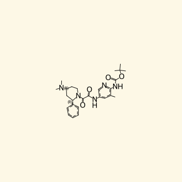 Cc1cc(NC(=O)C(=O)N2CC[C@@H](N(C)C)C[C@@H]2c2ccccc2)cnc1NC(=O)OC(C)(C)C